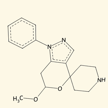 COC1Cc2c(cnn2-c2ccccc2)C2(CCNCC2)O1